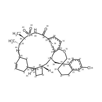 C[C@@H]1[C@@H](C)C[C@@H]2C=CC[C@@](O)(C2)[C@@H]2CC[C@H]2CN2C[C@@]3(CCCc4cc(Cl)ccc43)COc3ccc(cc32)C(=O)NS1(=O)=O